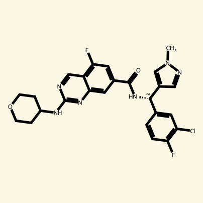 Cn1cc([C@@H](NC(=O)c2cc(F)c3cnc(NC4CCOCC4)nc3c2)c2ccc(F)c(Cl)c2)cn1